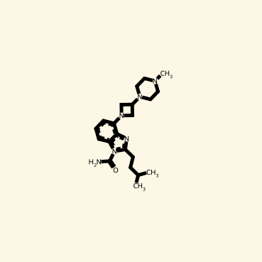 CC(C)CCc1nc2c(N3CC(N4CCN(C)CC4)C3)cccc2n1C(N)=O